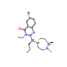 CCC[C@@H](c1nc2ccc(Br)cc2c(=O)n1CC)[C@@H]1CC[C@@H](C)N(C)CC1